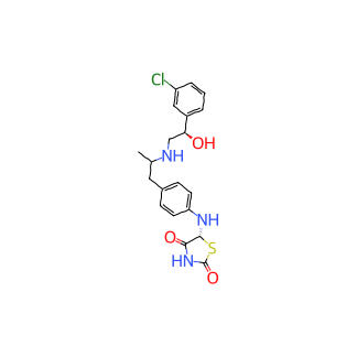 CC(Cc1ccc(N[C@@H]2SC(=O)NC2=O)cc1)NC[C@H](O)c1cccc(Cl)c1